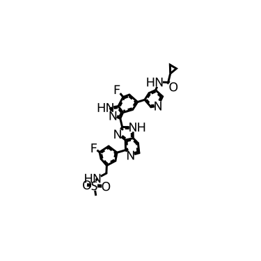 CS(=O)(=O)NCc1cc(F)cc(-c2nccc3[nH]c(-c4n[nH]c5c(F)cc(-c6cncc(NC(=O)C7CC7)c6)cc45)nc23)c1